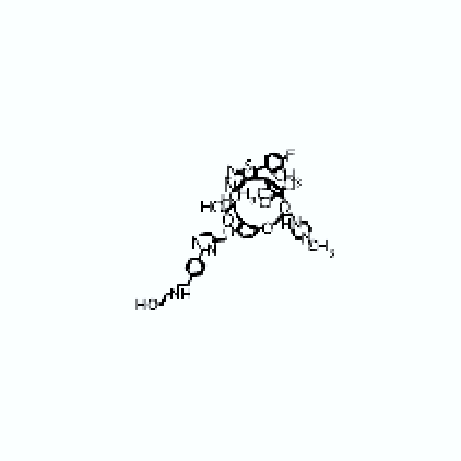 Cc1c(Cl)c2c(Cl)c(C)c1-c1c(-c3ccc(F)cc3)sc3ncnc(c13)O[C@@H](C(=O)O)Cc1cc(ccc1OCc1ccnc(-c3ccc(CCNCCO)cc3)n1)OC[C@@H](CN1CCN(C)CC1)O2